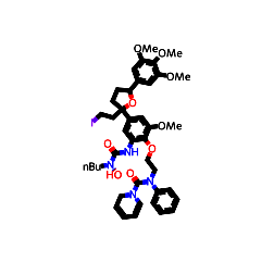 CCCCN(O)C(=O)Nc1cc(C2(CCI)CCC(c3cc(OC)c(OC)c(OC)c3)O2)cc(OC)c1OCCN(C(=O)N1C=CC=CC1)c1ccccc1